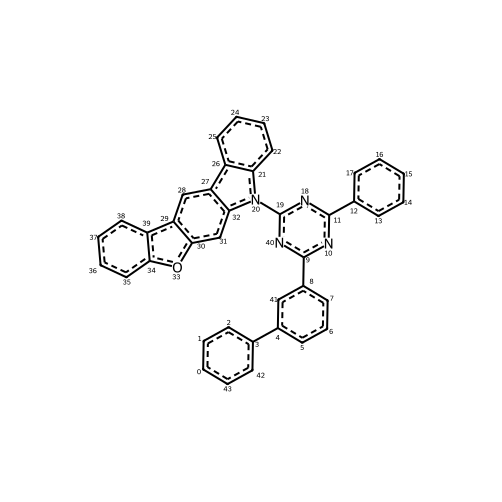 c1ccc(-c2cccc(-c3nc(-c4ccccc4)nc(-n4c5ccccc5c5cc6c(cc54)oc4ccccc46)n3)c2)cc1